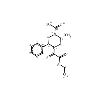 C[C@@H]1CN(C(=O)C(=O)OCC(F)(F)F)[C@@H](c2ccccc2)CN1C(=O)C(C)(C)C